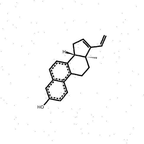 C=CC1=CC[C@H]2c3ccc4cc(O)ccc4c3CC[C@]12C